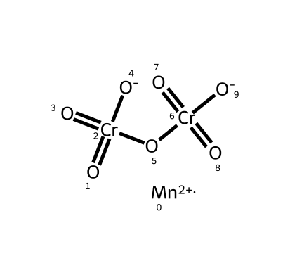 [Mn+2].[O]=[Cr](=[O])([O-])[O][Cr](=[O])(=[O])[O-]